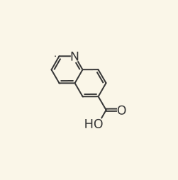 O=C(O)c1ccc2n[c]ccc2c1